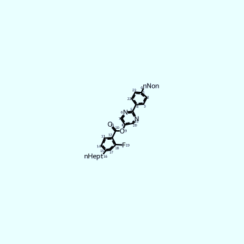 CCCCCCCCCc1ccc(-c2ncc(OC(=O)c3ccc(CCCCCCC)cc3F)cn2)cc1